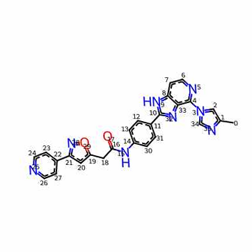 Cc1cn(-c2nccc3[nH]c(-c4ccc(NC(=O)Cc5cc(-c6ccncc6)no5)cc4)nc23)cn1